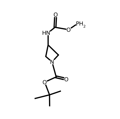 CC(C)(C)OC(=O)N1CC(NC(=O)OP)C1